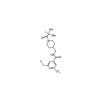 CC(C)(C)C(C)(O)C(=O)N1CCC(CNC(=O)c2cc(CF)cc(C(F)(F)F)c2)CC1